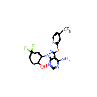 Nc1ncnc2c1c(Oc1cc(C(F)(F)F)ccn1)nn2C1CC(F)(F)CCC1O